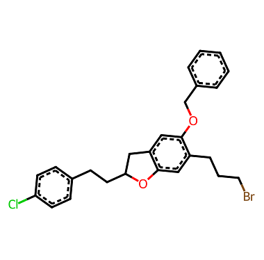 Clc1ccc(CCC2Cc3cc(OCc4ccccc4)c(CCCBr)cc3O2)cc1